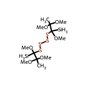 COC(C)(OC)C([SiH3])(OC)SSSSC([SiH3])(OC)C(C)(OC)OC